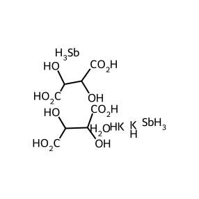 O.O=C(O)C(O)C(O)C(=O)O.O=C(O)C(O)C(O)C(=O)O.[KH].[KH].[SbH3].[SbH3]